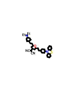 CCN(CC)c1ccc(/C=C/C2=CC(=C(C#N)C#N)C=C(/C=C/c3ccc(N4c5ccccc5Sc5ccccc54)cc3)O2)cc1